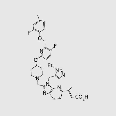 CCn1cncc1Cn1c(CN2CCC(Oc3ccc(F)c(COc4ccc(C)cc4F)n3)CC2)nc2ccc(/C(C)=C/C(=O)O)nc21